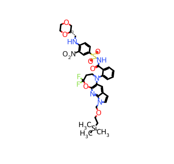 C[Si](C)(C)CCOCn1ccc2cc3c(nc21)OC(F)(F)CCN3c1ccccc1C(=O)NS(=O)(=O)c1ccc(NC[C@H]2COCCO2)c([N+](=O)[O-])c1